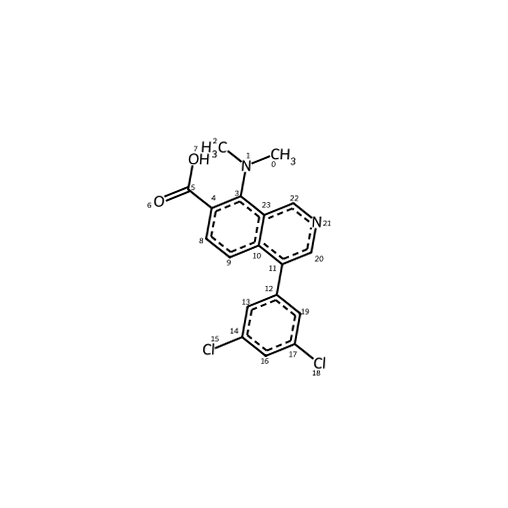 CN(C)c1c(C(=O)O)ccc2c(-c3cc(Cl)cc(Cl)c3)cncc12